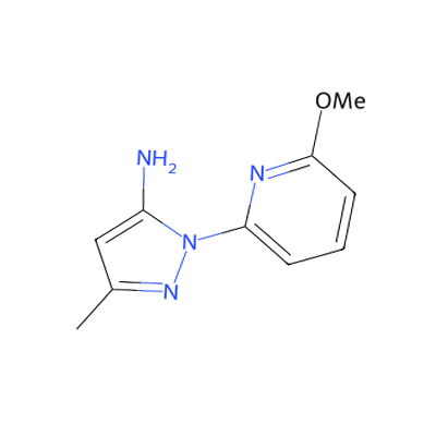 COc1cccc(-n2nc(C)cc2N)n1